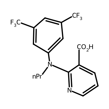 CCCN(c1cc(C(F)(F)F)cc(C(F)(F)F)c1)c1ncccc1C(=O)O